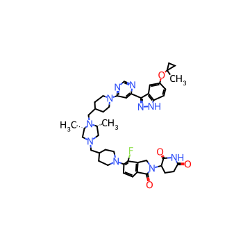 C[C@@H]1CN(CC2CCN(c3ccc4c(c3F)CN(C3CCC(=O)NC3=O)C4=O)CC2)C[C@H](C)N1CC1CCN(c2cc(-c3n[nH]c4ccc(OC5(C)CC5)cc34)ncn2)CC1